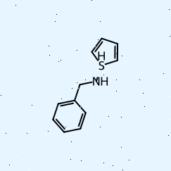 C1=C[SH](NCc2ccccc2)C=C1